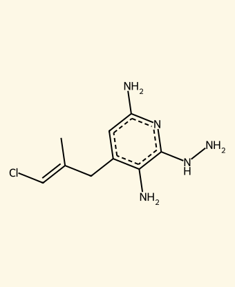 C/C(=C\Cl)Cc1cc(N)nc(NN)c1N